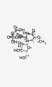 COc1cn([C@@H]2O[C@H](CO)[C@@H](O)[C@H]2O)c(=O)[nH]c1=O.O=P(O)(O)OP(=O)(O)O